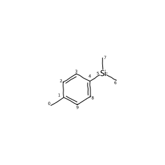 Cc1ccc([Si](C)C)cc1